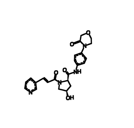 O=C(Nc1ccc(N2CCOCC2=O)cc1)[C@H]1C[C@@H](O)CN1C(=O)C=Cc1cccnc1